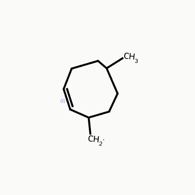 [CH2]C1/C=C\CCC(C)CC1